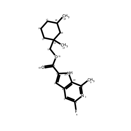 Cc1nc(F)cc2cc(C(=O)OCC3(C)CCCC(C)C3)[nH]c12